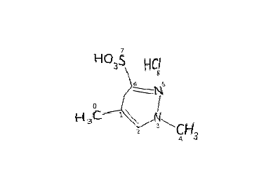 Cc1cn(C)nc1S(=O)(=O)O.Cl